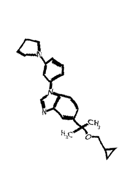 CC(C)(OCC1CC1)c1ccc2c(c1)ncn2-c1cccc(N2CCCC2)c1